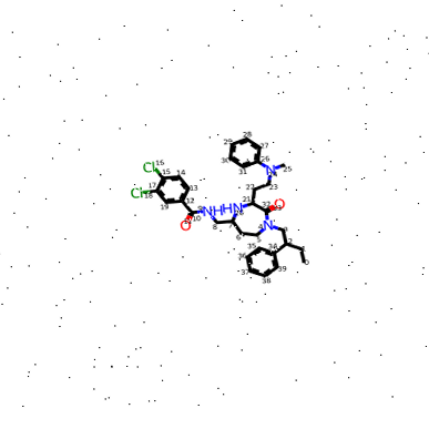 CCC(CN1CCC(CNC(=O)c2ccc(Cl)c(Cl)c2)NC(CCN(C)c2ccccc2)C1=O)c1ccccc1